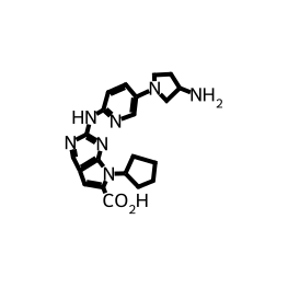 NC1CCN(c2ccc(Nc3ncc4cc(C(=O)O)n(C5CCCC5)c4n3)nc2)C1